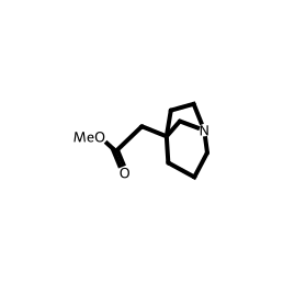 COC(=O)CC12CCCN(CC1)C2